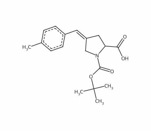 Cc1ccc(C=C2CC(C(=O)O)N(C(=O)OC(C)(C)C)C2)cc1